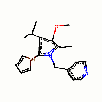 COc1c(C(C)C)c([SH]2C=CC=C2)n(Cc2ccncc2)c1C